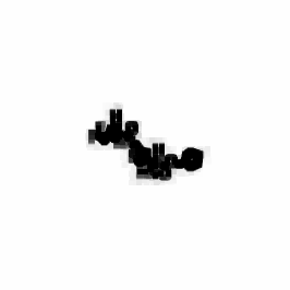 N=C(NC(=O)OCc1ccccc1)c1csc(CNC(=O)[C@@H]2C[C@@]3(CN2)CC3(F)F)c1